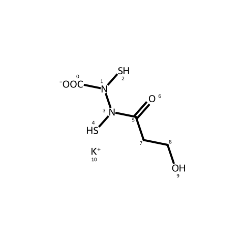 O=C([O-])N(S)N(S)C(=O)CCO.[K+]